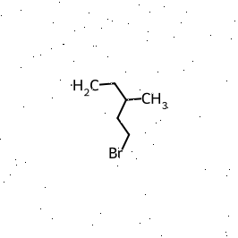 [CH2]CC(C)CCBr